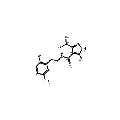 Cc1ccc(C(C)C)c(CCNC(=O)c2c(C(F)F)n[nH]c2F)c1